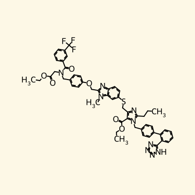 CCCc1nc(CSc2ccc3nc(COc4ccc(CN(CC(=O)OCC)C(=O)c5cccc(C(F)(F)F)c5)cc4)n(C)c3c2)c(C(=O)OCC)n1Cc1ccc(-c2ccccc2-c2nnn[nH]2)cc1